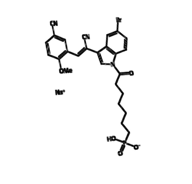 COc1ccc(C#N)cc1/C=C(\C#N)c1cn(C(=O)CCCCCCP(=O)([O-])O)c2ccc(Br)cc12.[Na+]